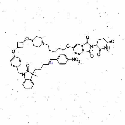 CC1(CCC/C=C/c2ccc([N+](=O)[O-])cc2)C(=O)N(Cc2ccc(O[C@H]3C[C@H](OC4CCN(CCCCCOc5ccc6c(c5)C(=O)N(C5CCC(=O)NC5=O)C6=O)CC4)C3)cc2)c2ccccc21